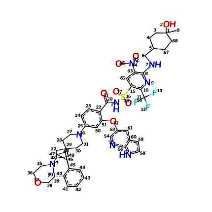 CC1(O)CCC(CNc2nc(C(F)(F)F)c(S(=O)(=O)NC(=O)c3ccc(N4CCC5(CC4)CC(N4CCOC[C@H]4c4ccccc4C4CC4)C5)cc3Oc3cnc4[nH]ccc4c3)cc2[N+](=O)[O-])CC1